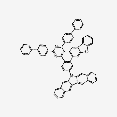 c1ccc(-c2ccc(-c3nc(-c4ccc(-c5ccccc5)cc4)nc(-c4ccc(-n5c6cc7ccccc7cc6c6cc7ccccc7cc65)cc4-c4ccc5c(c4)oc4ccccc45)n3)cc2)cc1